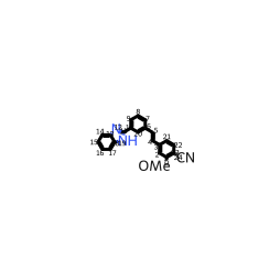 COc1cc(C=Cc2cccc(-c3nc4ccccc4[nH]3)c2)ccc1C#N